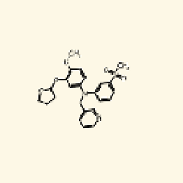 COc1ccc(N(Cc2cccnc2)c2cccc(S(C)(=O)=O)c2)cc1OC1CCCO1